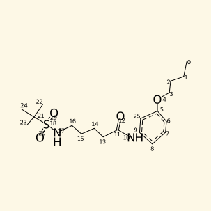 CCCCOc1cccc(NC(=O)CCCCNS(=O)(=O)C(C)(C)C)c1